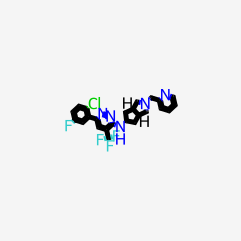 Fc1ccc(Cl)c(-c2cc(C(F)(F)F)c(N[C@@H]3C[C@@H]4CN(Cc5ccccn5)C[C@@H]4C3)nn2)c1